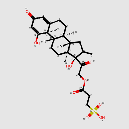 CC1C[C@H]2[C@@H]3CCC4=CC(=O)C=C(O)[C@]4(C)[C@H]3CC[C@]2(C)[C@@]1(O)C(=O)COC(=O)CCS(=O)(=O)O